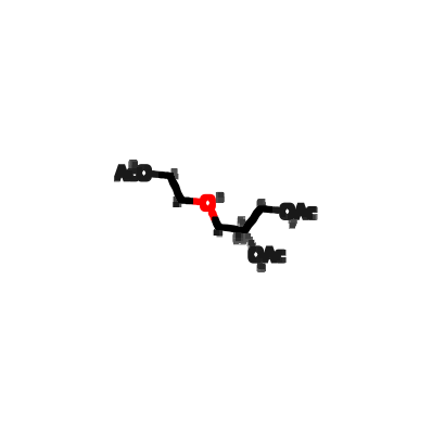 CC(=O)OCCOC[C@H](COC(C)=O)OC(C)=O